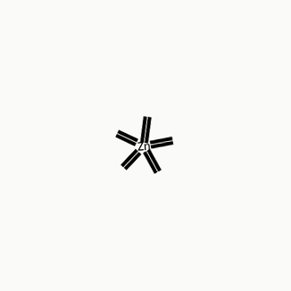 [CH2]=[Zn](=[CH2])(=[CH2])(=[CH2])=[CH2]